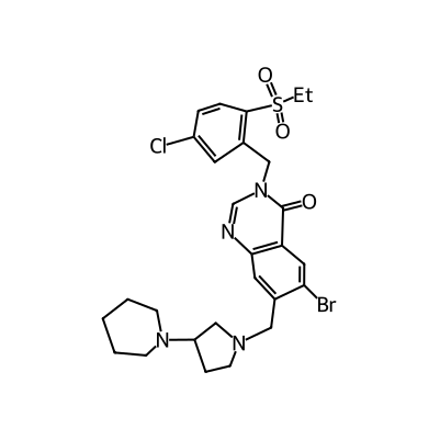 CCS(=O)(=O)c1ccc(Cl)cc1Cn1cnc2cc(CN3CCC(N4CCCCC4)C3)c(Br)cc2c1=O